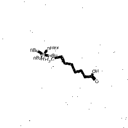 CCCCCCCC(=O)O.CCCCCC[PH](CCCC)(CCCC)CCCC